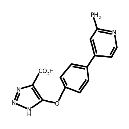 O=C(O)c1nn[nH]c1Oc1ccc(-c2ccnc(P)c2)cc1